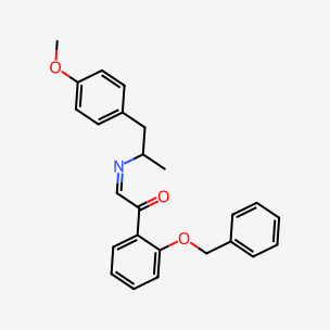 COc1ccc(CC(C)/N=C\C(=O)c2ccccc2OCc2ccccc2)cc1